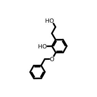 OCCc1cccc(OCc2ccccc2)c1O